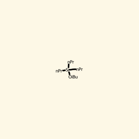 CCC[Si](CCC)(CCC)OCC(C)C